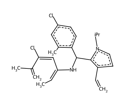 C=Cc1ccn(C(C)C)c1C(NC(=C/C)/C=C(/Cl)C(=C)C)c1ccc(Cl)cc1C